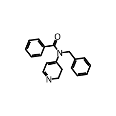 O=C(c1ccccc1)N(Cc1ccccc1)C1=CC=NCC1